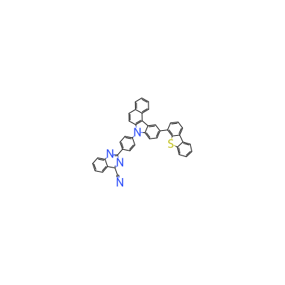 N#Cc1nc(-c2ccc(-n3c4ccc(-c5cccc6c5sc5ccccc56)cc4c4c5ccccc5ccc43)cc2)nc2ccccc12